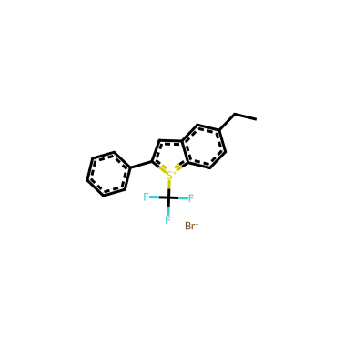 CCc1ccc2c(c1)cc(-c1ccccc1)[s+]2C(F)(F)F.[Br-]